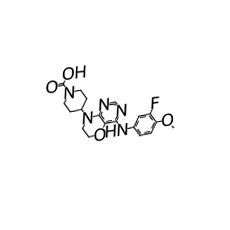 COc1ccc(Nc2ncnc3c2OCCN3C2CCN(C(=O)O)CC2)cc1F